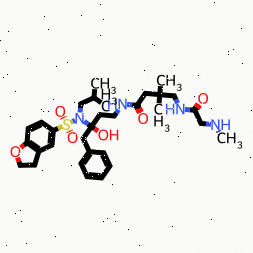 CNCC(=O)NCC(C)(C)CC(=O)NCCC(O)(Cc1ccccc1)N(CC(C)C)S(=O)(=O)c1ccc2c(c1)CCO2